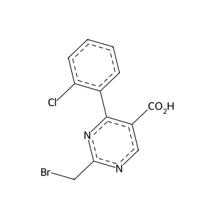 O=C(O)c1cnc(CBr)nc1-c1ccccc1Cl